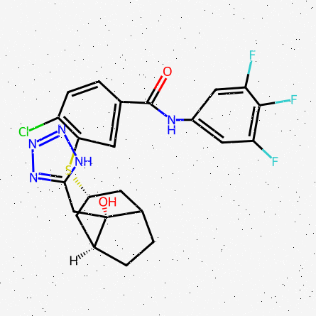 O=C(Nc1cc(F)c(F)c(F)c1)c1ccc(Cl)c(S[C@@H]2CC3CC[C@@H](C2)[C@@]3(O)Cc2nnn[nH]2)c1